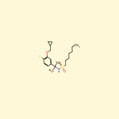 CCCCCCCS(=O)(=O)NC(C)(C)c1ccc(F)c(OCC2CC2)c1